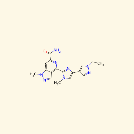 CCn1cc(-c2cn(C)c(-c3nc(C(N)=O)cc4c3cnn4C)n2)cn1